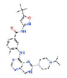 Cc1ccc(C(=O)Nc2cc(C(C)(C)C)on2)cc1Nc1ncnc2cnc(N3CCN(C(C)C)CC3)nc12